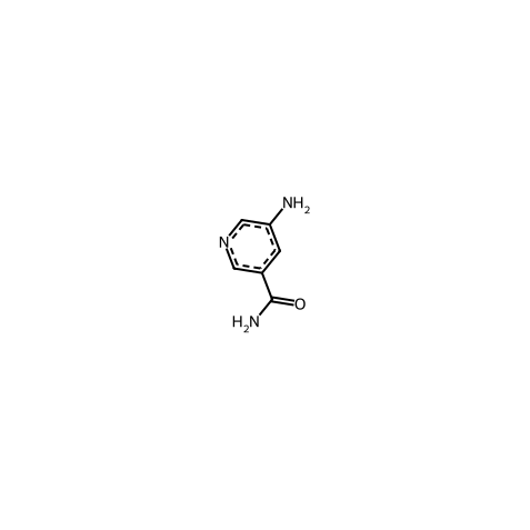 NC(=O)c1cncc(N)c1